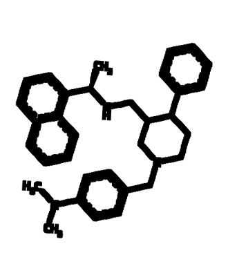 C[C@@H](NCC1CN(Cc2ccc(N(C)C)cc2)CCC1c1ccccc1)c1cccc2ccccc12